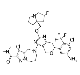 CN(C)C(=O)c1nn2c(c1Cl)CN(c1nc(OC[C@@]34CCCN3C[C@H](F)C4)nc3c1CO[C@H](c1cc(N)cc(Cl)c1C(F)(F)F)C3)CCC2